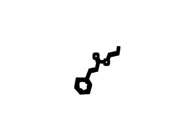 CC=COC(=O)/C=C/c1ccccc1